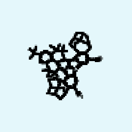 CC(C)(C)c1cc2c3c(c1)C(C)(C)C(C)(C)c1c-3c(c3c4c5c(c(C#N)cc4n4c6cc(C#N)c7c(c6c1c34)C1CC3CC4CC7CC43C1)C1CC3CC4CC5CC34C1)C(C)(C)C2(C)C